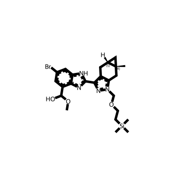 COC(O)c1cc(Br)cc2[nH]c(-c3nn(COCC[Si](C)(C)C)c4c3C[C@@H]3C[C@]3(C)C4)nc12